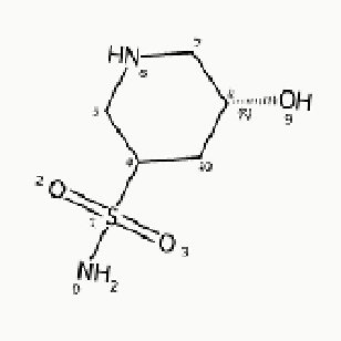 NS(=O)(=O)C1CNC[C@H](O)C1